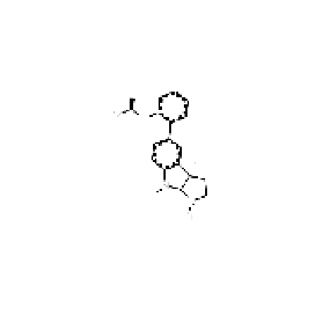 CN1CC[C@]2(C)c3cc(-c4ccccc4OC(N)=O)ccc3N(C)C12